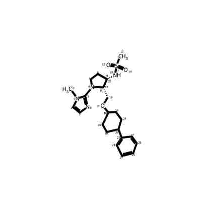 Cn1ccnc1N1CC[C@H](NS(C)(=O)=O)[C@@H]1COC1CCC(c2ccccc2)CC1